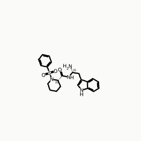 N[C@H](Cc1c[nH]c2ccccc12)NC(=O)[C@@H]1CCCCN1S(=O)(=O)c1ccccc1